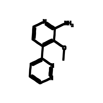 COc1c(-c2cccnn2)ccnc1N